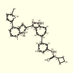 Cc1ccc(-c2ccnc3[nH]c(-c4n[nH]c5ccc(-c6cncc(NC(=O)C7CCC7)c6)cc45)cc23)s1